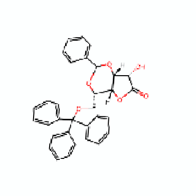 O=C1O[C@H]2[C@H](OC(c3ccccc3)O[C@H]2COC(c2ccccc2)(c2ccccc2)c2ccccc2)[C@@H]1O